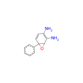 NC1=C(N)C2OC2(c2ccccc2)C=C1